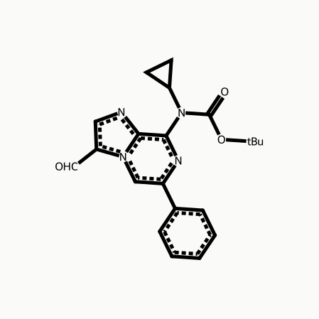 CC(C)(C)OC(=O)N(c1nc(-c2ccccc2)cn2c(C=O)cnc12)C1CC1